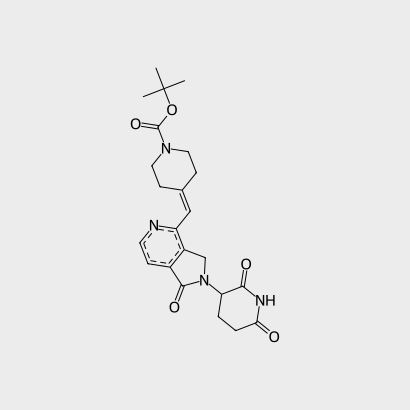 CC(C)(C)OC(=O)N1CCC(=Cc2nccc3c2CN(C2CCC(=O)NC2=O)C3=O)CC1